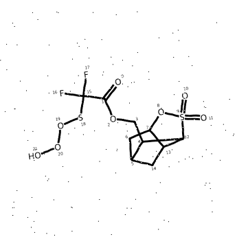 O=C(OCC1C2CC3OS(=O)(=O)C1C3C2)C(F)(F)SOOO